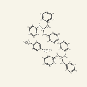 O=C(O)c1ccc(C(=O)O)cc1.c1ccc(OP(Oc2ccccc2)Oc2ccccc2)cc1.c1ccc(OP(Oc2ccccc2)Oc2ccccc2)cc1